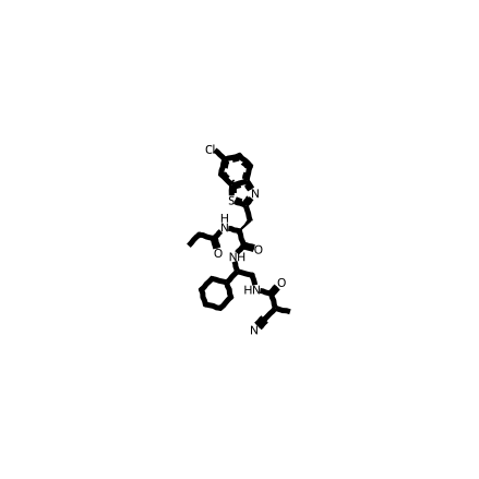 CCC(=O)N[C@@H](Cc1nc2ccc(Cl)cc2s1)C(=O)NC(CNC(=O)C(C)C#N)C1CCCCC1